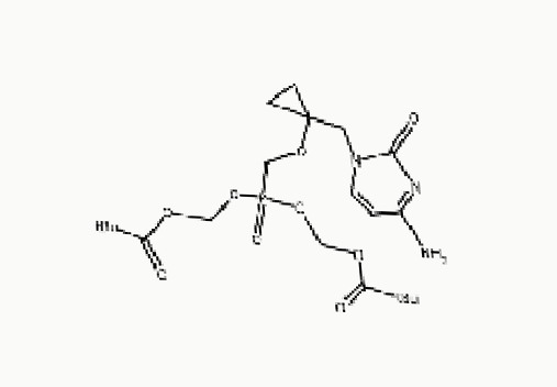 CC(C)(C)C(=O)OCOP(=O)(COC1(Cn2ccc(N)nc2=O)CC1)OCOC(=O)C(C)(C)C